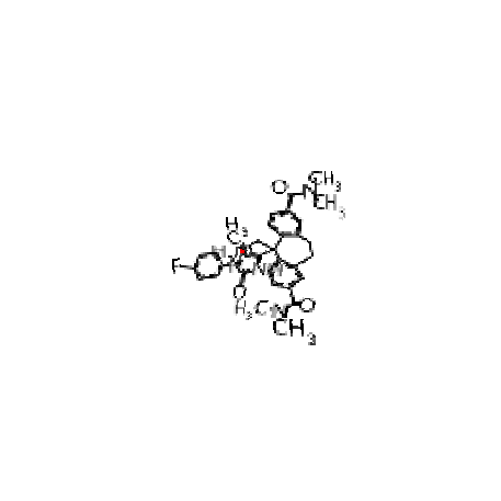 C[C@@H](N)CC1(c2nn(-c3ccc(F)cc3)c(=O)[nH]2)c2ccc(C(=O)N(C)C)cc2CCc2cc(C(=O)N(C)C)ccc21